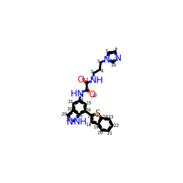 O=C(NCCCn1ccnc1)C(=O)Nc1cc(-c2cc3ccccc3s2)c2[nH]ncc2c1